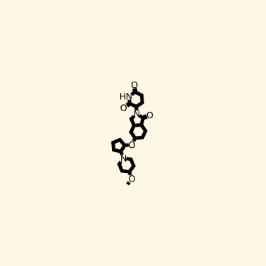 COC1CCN(C2CCCC2OC2CCC3C(=O)N(C4CCC(=O)NC4=O)CC3C2)CC1